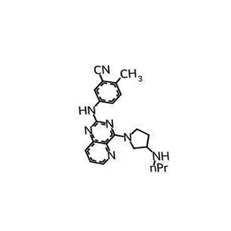 CCCNC1CCN(c2nc(Nc3ccc(C)c(C#N)c3)nc3cccnc23)C1